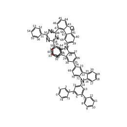 c1ccc(-c2cc(-c3ccccc3)cc(-n3c4ccccc4c4cc(-c5ccc6c(c5)c5ccccc5n6-c5ccc6oc7cccc(-c8nc(-c9ccccc9)nc(-c9ccccc9)n8)c7c6c5)ccc43)c2)cc1